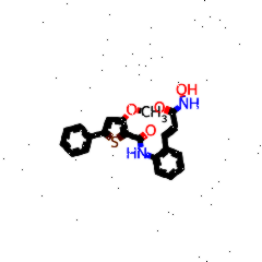 COc1cc(-c2ccccc2)sc1C(=O)Nc1ccccc1/C=C/C(=O)NO